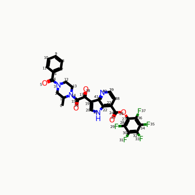 CC1CN(C(=O)c2ccccc2)CCN1C(=O)C(=O)c1c[nH]c2c(C(=O)Oc3c(F)c(F)c(F)c(F)c3F)ccnc12